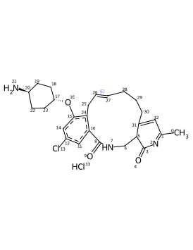 CC1=NC(=O)C2CNC(=O)c3cc(Cl)cc(O[C@H]4CC[C@H](N)CC4)c3C/C=C/CCCC2=C1.Cl